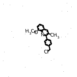 COc1cccc2cc(C)c(-c3ccc(CCl)cc3)nc12